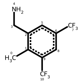 Cc1c(CN)cc(C(F)(F)F)cc1C(F)(F)F